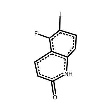 O=c1ccc2c(F)c(I)ccc2[nH]1